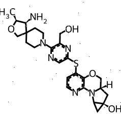 C[C@@H]1OCC2(CCN(c3ncc(Sc4ccnc5c4OC[C@@H]4C[C@]6(O)CC6N54)nc3CO)CC2)[C@@H]1N